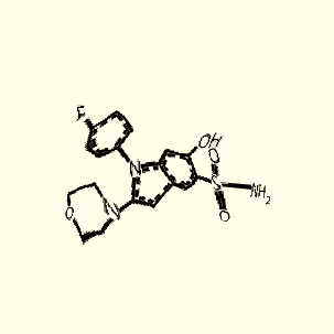 NS(=O)(=O)c1cc2cc(N3CCOCC3)n(-c3ccc(F)cc3)c2cc1O